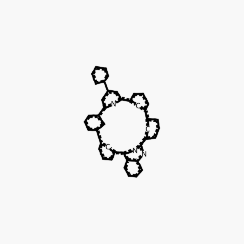 c1ccc(-c2cc3nc(c2)c2cccc(c2)c2cccc(c2)c2nc(nc4ccccc42)c2cccc(c2)c2cccc3c2)cc1